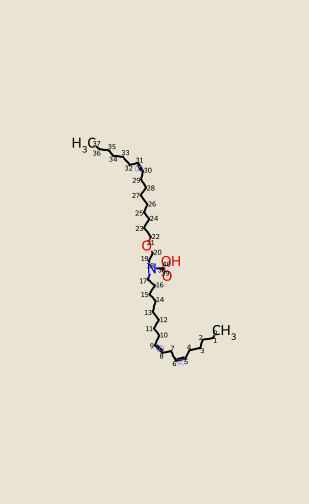 CCCCC/C=C\C/C=C\CCCCCCCCN(CCOCCCCCCCC/C=C\CCCCCC)C(=O)O